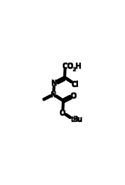 CN(/N=C(\Cl)C(=O)O)C(=O)OC(C)(C)C